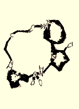 O=S1(=O)Nc2ccc(Cl)c(n2)-c2cccnc2NCCCCCNc2cccc1n2